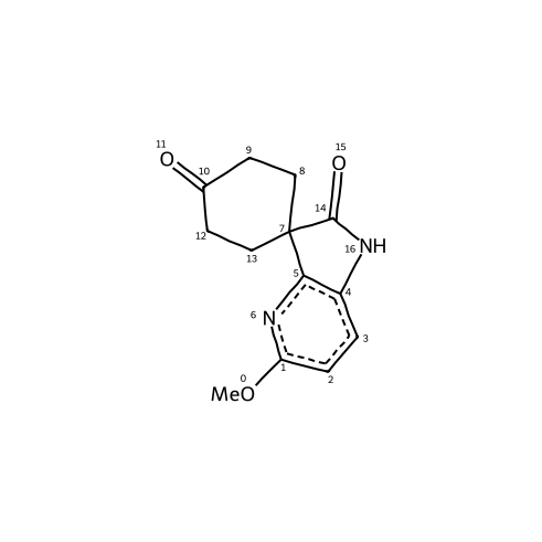 COc1ccc2c(n1)C1(CCC(=O)CC1)C(=O)N2